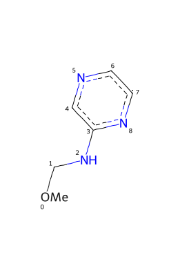 COCNc1cnc[c]n1